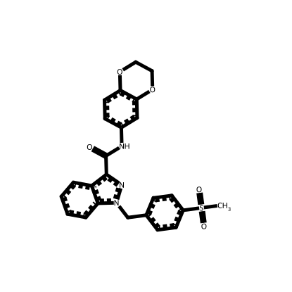 CS(=O)(=O)c1ccc(Cn2nc(C(=O)Nc3ccc4c(c3)OCCO4)c3ccccc32)cc1